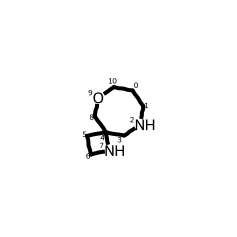 C1CNCC2(CCN2)COC1